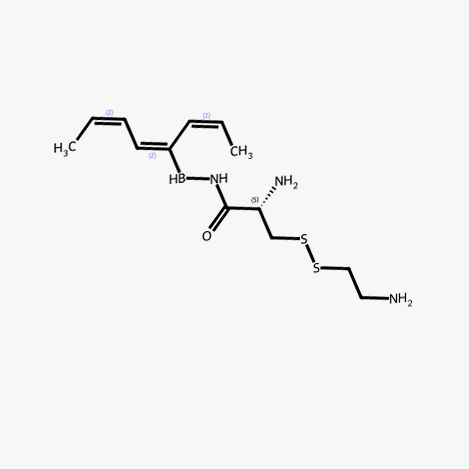 C\C=C/C=C(BNC(=O)[C@H](N)CSSCCN)\C=C/C